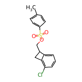 Cc1ccc(S(=O)(=O)OCC2Cc3c(Cl)cccc32)cc1